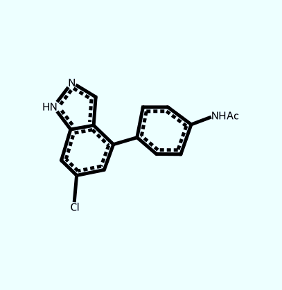 CC(=O)Nc1ccc(-c2cc(Cl)cc3[nH]ncc23)cc1